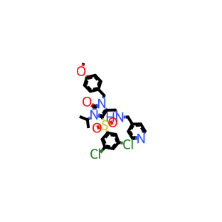 COc1ccc(Cn2c(CNCc3ccncc3)c(S(=O)(=O)c3cc(Cl)cc(Cl)c3)n(C(C)C)c2=O)cc1